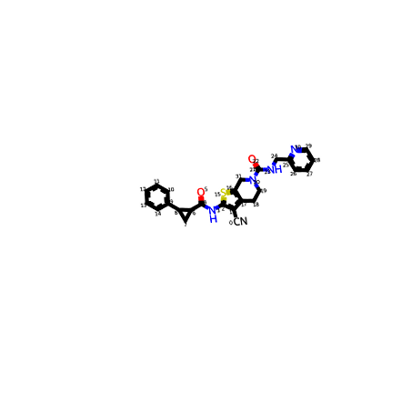 N#Cc1c(NC(=O)C2CC2c2ccccc2)sc2c1CCN(C(=O)NCc1ccccn1)C2